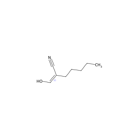 CCCCC/C(C#N)=C/O